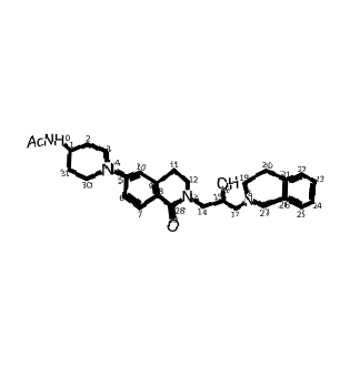 CC(=O)NC1CCN(c2ccc3c(c2)CCN(CC(O)CN2CCc4ccccc4C2)C3=O)CC1